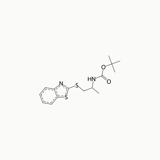 CC(CSc1nc2ccccc2s1)NC(=O)OC(C)(C)C